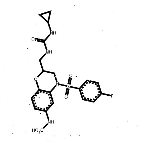 O=C(O)Nc1ccc2c(c1)N(S(=O)(=O)c1ccc(F)cc1)CC(CNC(=O)NC1CC1)O2